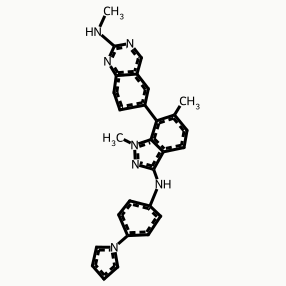 CNc1ncc2cc(-c3c(C)ccc4c(Nc5ccc(-n6cccc6)cc5)nn(C)c34)ccc2n1